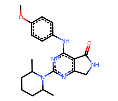 COc1ccc(Nc2nc(N3C(C)CCCC3C)nc3c2C(=O)NC3)cc1